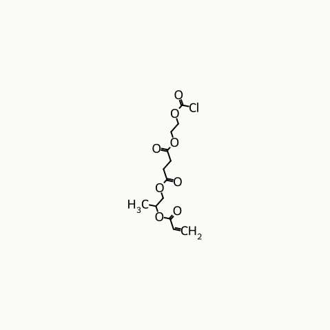 C=CC(=O)OC(C)COC(=O)CCC(=O)OCCOC(=O)Cl